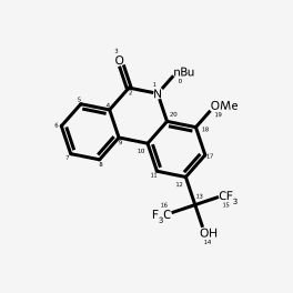 CCCCn1c(=O)c2ccccc2c2cc(C(O)(C(F)(F)F)C(F)(F)F)cc(OC)c21